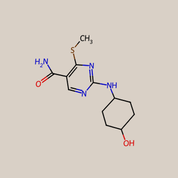 CSc1nc(NC2CCC(O)CC2)ncc1C(N)=O